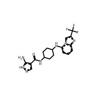 Nc1[nH]ncc1C(=O)NC1CCC(Nc2cccc3nc(C(F)(F)F)cn23)CC1